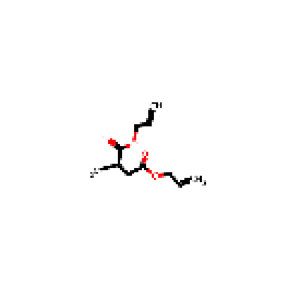 [CH2]C(CC(=O)OCC=C)C(=O)OCC=C